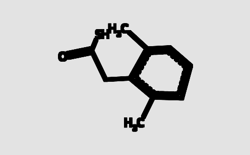 Cc1cccc(C)c1CC(=O)S